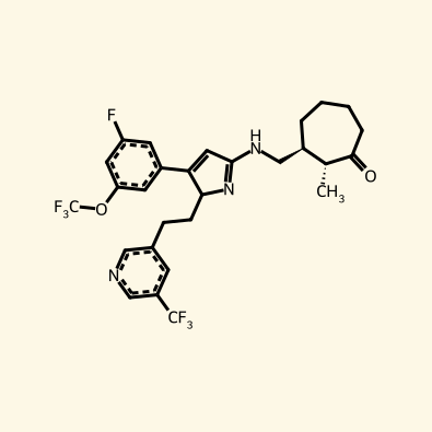 C[C@H]1C(=O)CCCC[C@@H]1CNC1=NC(CCc2cncc(C(F)(F)F)c2)C(c2cc(F)cc(OC(F)(F)F)c2)=C1